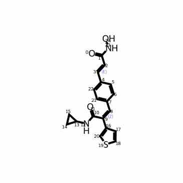 O=C(/C=C/c1ccc(/C=C(\C(=O)NC2CC2)c2ccsc2)cc1)NO